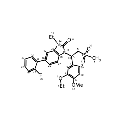 CCOc1cc([C@H](CS(C)(=O)=O)n2c(=O)n(CC)c3cc(-c4ccccc4F)ccc32)ccc1OC